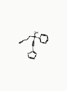 C=CCCC(O)(C#Cc1cccs1)c1ccccc1